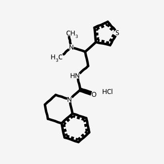 CN(C)C(CNC(=O)N1CCCc2ccccc21)c1ccsc1.Cl